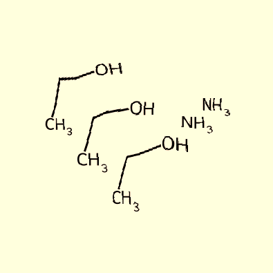 CCO.CCO.CCO.N.N